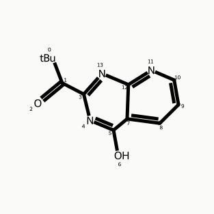 CC(C)(C)C(=O)c1nc(O)c2cccnc2n1